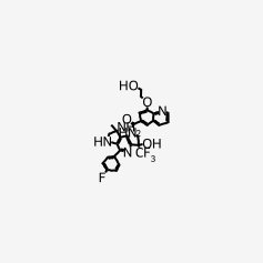 CC1(N)CNc2c1cc(C(O)(CNC(=O)c1cc(OCCO)c3ncccc3c1)C(F)(F)F)nc2-c1ccc(F)cc1